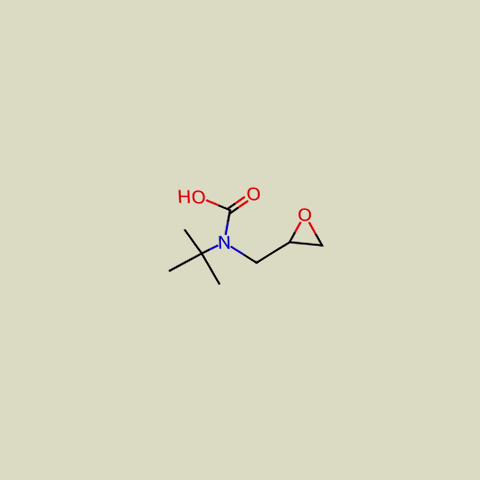 CC(C)(C)N(CC1CO1)C(=O)O